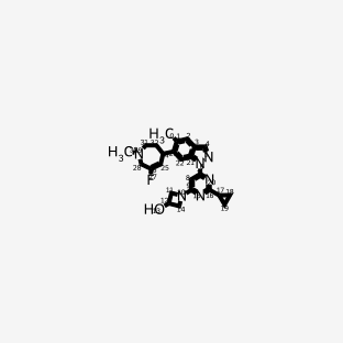 Cc1cc2cnn(-c3cc(N4CC(O)C4)nc(C4CC4)n3)c2cc1C1C=C(F)CN(C)CC1